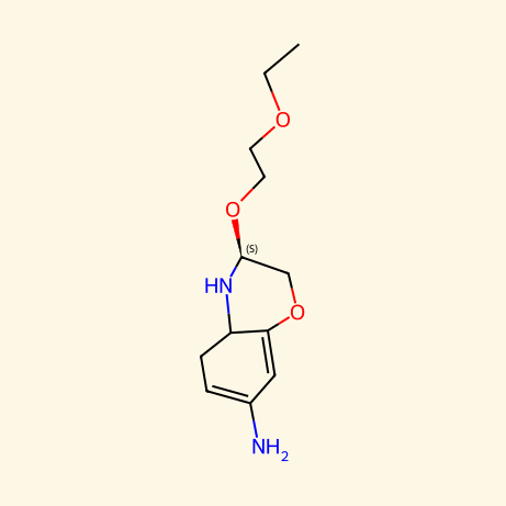 CCOCCO[C@H]1COC2=CC(N)=CCC2N1